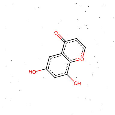 O=c1ccoc2c(O)cc(O)cc12